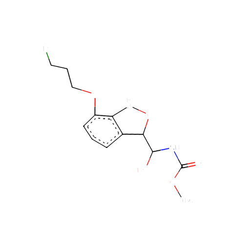 CC(C)(C)OC(=O)NC(O)C1OBc2c(OCCCBr)cccc21